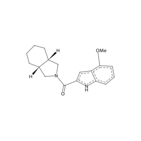 COc1cccc2[nH]c(C(=O)N3C[C@H]4CCCC[C@H]4C3)cc12